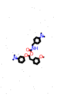 COc1cccc(CC(OC(=O)NCc2ccc(N(C)C)cc2)Oc2cccc(N(C)C)c2)c1